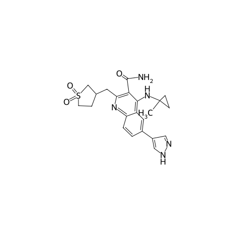 CC1(Nc2c(C(N)=O)c(CC3CCS(=O)(=O)C3)nc3ccc(-c4cn[nH]c4)cc23)CC1